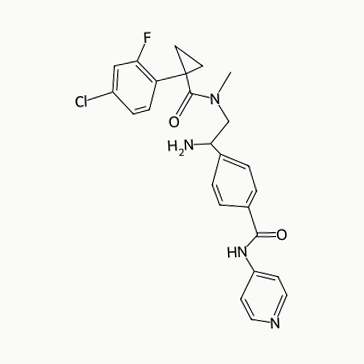 CN(CC(N)c1ccc(C(=O)Nc2ccncc2)cc1)C(=O)C1(c2ccc(Cl)cc2F)CC1